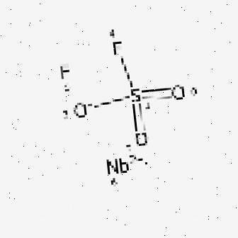 O=S(=O)([O-])F.[F-].[Nb+2]